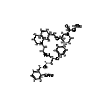 COc1ccccc1COCCCOc1ccc([C@H]2CCN(C(=O)OC(C)(C)C)C[C@@H]2OCc2ccc3c(c2)N(CCN)CCC3)cc1